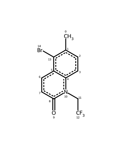 Cc1ccc2c(ccc(=O)n2CC(F)(F)F)c1Br